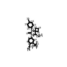 C=C1N(c2ccc(C#N)c(C(F)(F)F)c2)C(=N)C2(CCC2)N1c1ccc(C)cc1